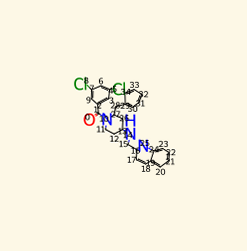 O=C(c1cc(Cl)cc(Cl)c1)N1CC[C@H](NCc2ccc3ccccc3n2)C[C@@H]1Cc1ccccc1